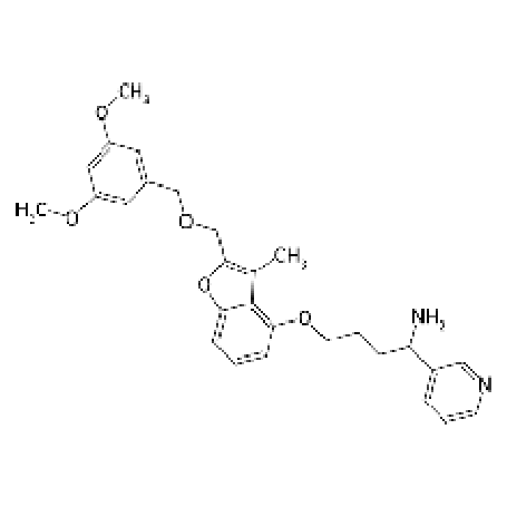 COc1cc(COCc2oc3cccc(OCCCC(N)c4cccnc4)c3c2C)cc(OC)c1